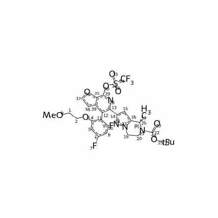 COCCOc1cc(F)cc(F)c1-c1c(-c2cc3n(n2)CCN(C(=O)OC(C)(C)C)[C@@H]3C)nc(OS(=O)(=O)C(F)(F)F)c2occc12